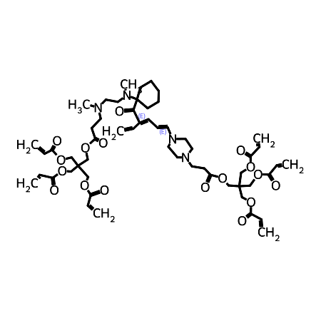 C=CC(=O)OCC(COC(=O)C=C)(COC(=O)C=C)COC(=O)CCN(C)CCN(C)C1(C(=O)/C(C=C)=C/C=C/N2CCN(CCC(=O)OCC(COC(=O)C=C)(COC(=O)C=C)COC(=O)C=C)CC2)CCCCC1